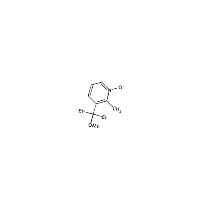 CCC(CC)(OC)c1ccc[n+]([O-])c1C